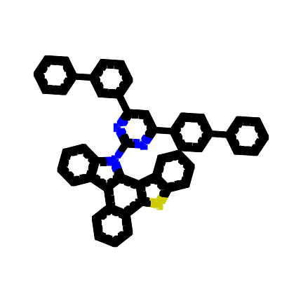 c1ccc(-c2ccc(-c3cc(-c4cccc(-c5ccccc5)c4)nc(-n4c5ccccc5c5c6ccccc6c6sc7ccccc7c6c54)n3)cc2)cc1